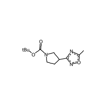 Cc1nc(C2CCN(C(=O)OC(C)(C)C)C2)no1